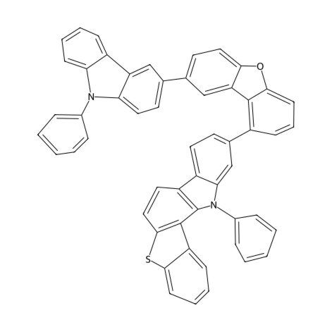 c1ccc(-n2c3ccccc3c3cc(-c4ccc5oc6cccc(-c7ccc8c9ccc%10sc%11ccccc%11c%10c9n(-c9ccccc9)c8c7)c6c5c4)ccc32)cc1